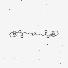 CN1C2CCC1CC(OC(=O)CCCSSCCCC(=O)OC1CC3CCC(C1)N3C)C2